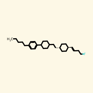 CCCCCc1ccc(C2CCC(CC[C@H]3CC[C@H](/C=C/CCF)CC3)CC2)cc1